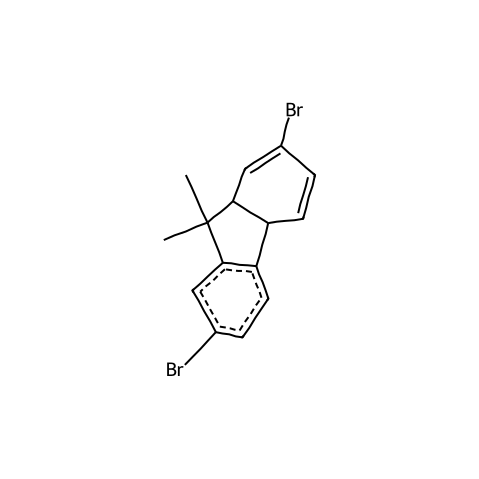 CC1(C)c2cc(Br)ccc2C2C=CC(Br)=CC21